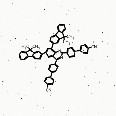 CC1(C)c2ccccc2-c2ccc(-c3cc(-c4ccc5c(c4)C(C)(C)c4ccccc4-5)c4nc(-c5ccc(-c6ccc(C#N)cc6)cc5)nc(-c5ccc(-c6ccc(C#N)cc6)cc5)c4c3)cc21